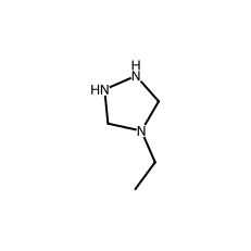 CCN1CNNC1